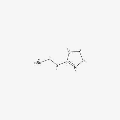 CCCCCSC1=NCCS1